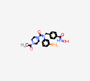 CC(=O)N1CCN(C(=O)N(Cc2ccc(C(=O)NO)cc2)c2cccc(P)c2)CC1